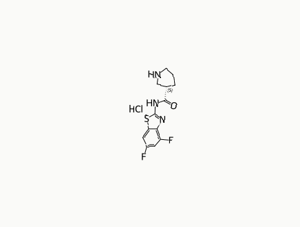 Cl.O=C(Nc1nc2c(F)cc(F)cc2s1)[C@H]1CCCNC1